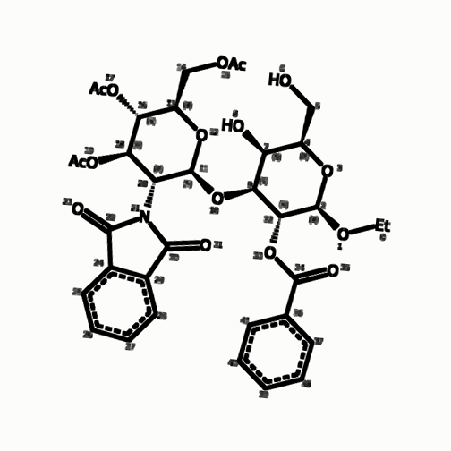 CCO[C@@H]1O[C@H](CO)[C@H](O)[C@H](O[C@@H]2O[C@H](COC(C)=O)[C@@H](OC(C)=O)[C@H](OC(C)=O)[C@H]2N2C(=O)c3ccccc3C2=O)[C@H]1OC(=O)c1ccccc1